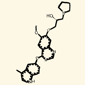 COc1cc2c(Oc3ccc4[nH]cc(C)c4c3)ncnc2cc1OC[C@H](O)CN1CCCC1